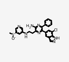 C[S+]([O-])c1cncc(NCCc2nc(-c3cc(Cl)c4[nH]ncc4c3)c(-c3ccccc3)nc2N)c1